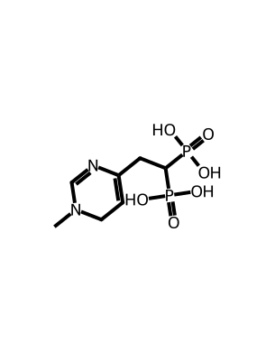 CN1C=NC(CC(P(=O)(O)O)P(=O)(O)O)=CC1